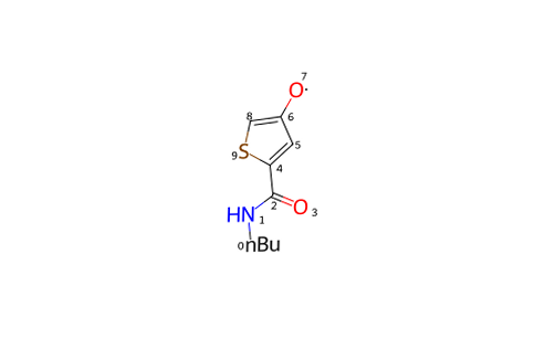 CCCCNC(=O)c1cc([O])cs1